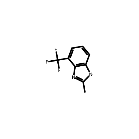 CC1=Nc2c(cccc2C(F)(F)F)[N]1